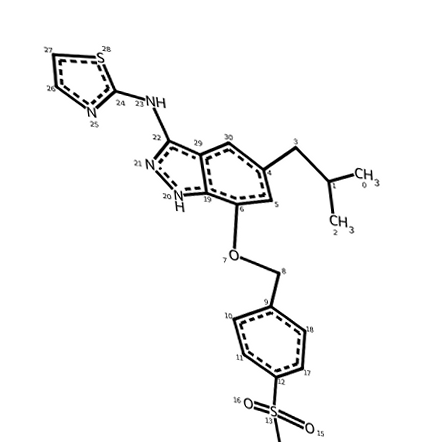 CC(C)Cc1cc(OCc2ccc(S(C)(=O)=O)cc2)c2[nH]nc(Nc3nccs3)c2c1